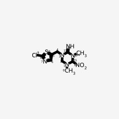 CN1CN(Cc2cnc(Cl)s2)C(=N)N(C)C1[N+](=O)[O-]